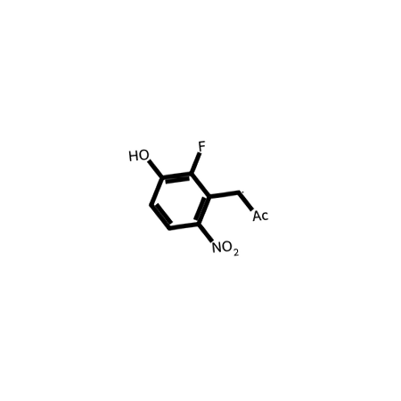 CC(=O)[CH]c1c([N+](=O)[O-])ccc(O)c1F